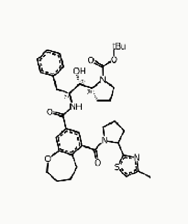 Cc1csc(C2CCCN2C(=O)c2cc(C(=O)N[C@@H](Cc3ccccc3)[C@H](O)[C@H]3CCCN3C(=O)OC(C)(C)C)cc3c2CCCCO3)n1